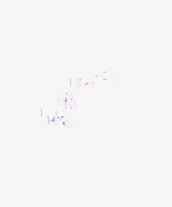 Cc1[nH]c2ccccc2c1CCNC(=O)N1CCC(CCNC(=O)COCc2ccc(F)cc2)CC1